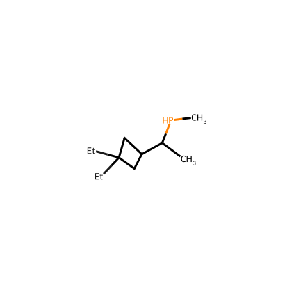 CCC1(CC)CC(C(C)PC)C1